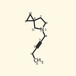 CCC#CCN1CCC2(CC2)C1